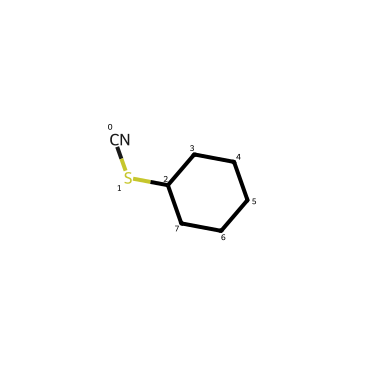 N#CSC1CCCCC1